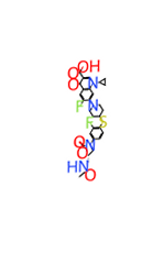 CC(=O)NC[C@H]1CN(c2ccc(SC3CCN(c4cc5c(cc4F)c(=O)c(C(=O)O)cn5C4CC4)CC3)c(F)c2)C(=O)O1